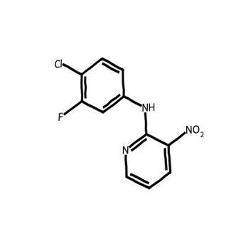 O=[N+]([O-])c1cccnc1Nc1ccc(Cl)c(F)c1